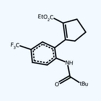 CCOC(=O)C1=C(c2cc(C(F)(F)F)ccc2NC(=O)C(C)(C)C)CCC1